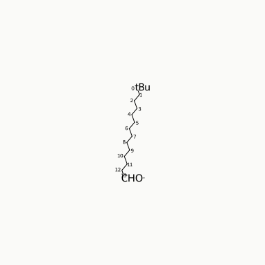 CC(C)(C)CCCCCCCCCCCC[C]=O